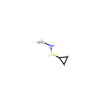 O=[C]NSC1CC1